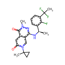 C[C@@H](Nc1nn(C)c(=O)c2cc(=O)n(C3(C)CC3)cc12)c1cccc(C(C)(F)F)c1F